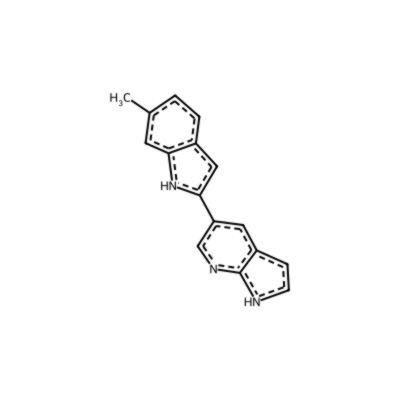 Cc1ccc2cc(-c3cnc4[nH]ccc4c3)[nH]c2c1